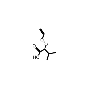 C=COO[C@H](C(=O)O)C(C)C